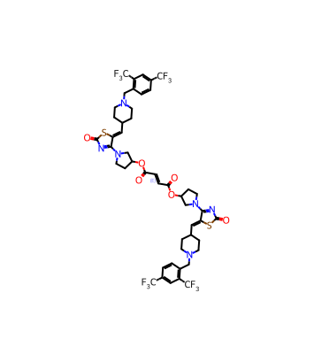 O=C(/C=C/C(=O)OC1CCN(C2=NC(=O)SC2=CC2CCN(Cc3ccc(C(F)(F)F)cc3C(F)(F)F)CC2)C1)OC1CCN(C2=NC(=O)SC2=CC2CCN(Cc3ccc(C(F)(F)F)cc3C(F)(F)F)CC2)C1